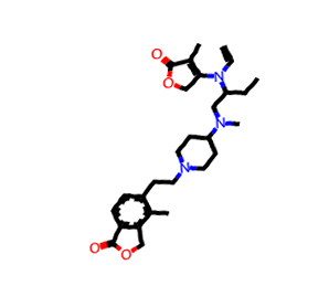 C=CN(C1=C(C)C(=O)OC1)C(CC)CN(C)C1CCN(CCc2ccc3c(c2C)COC3=O)CC1